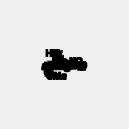 COc1ccc(C2CCCN2c2ccc(-c3ccc(C(=O)NS(=O)(=O)c4ccc(NCC5CCOCC5)c([N+](=O)[O-])c4)c(Oc4cnc5[nH]ccc5c4)c3)cc2)cc1